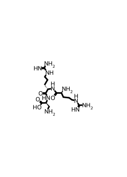 N=C(N)NCCC[C@H](NC(=O)[C@@H](N)CCCNC(=N)N)C(=O)N[C@@H](CN)C(=O)O